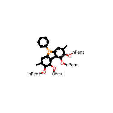 CCCCCOc1c(C)cc2c(c1OCCCCC)c1c(OCCCCC)c(OCCCCC)c(C)cc1p2-c1ccccc1